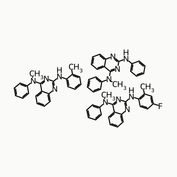 CN(c1ccccc1)c1nc(Nc2ccccc2)nc2ccccc12.Cc1cc(F)ccc1Nc1nc(N(C)c2ccccc2)c2ccccc2n1.Cc1ccccc1Nc1nc(N(C)c2ccccc2)c2ccccc2n1